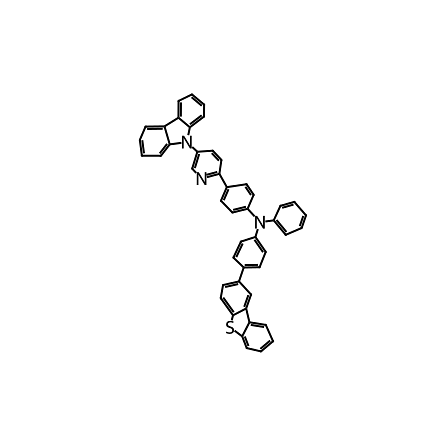 c1ccc(N(c2ccc(-c3ccc4sc5ccccc5c4c3)cc2)c2ccc(-c3ccc(-n4c5ccccc5c5ccccc54)cn3)cc2)cc1